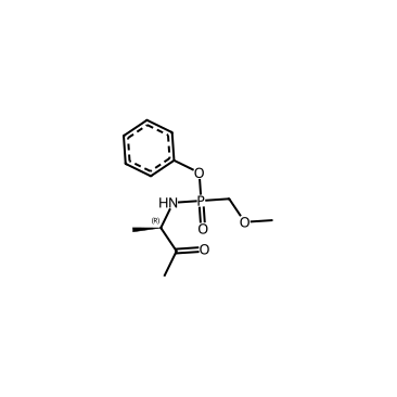 COCP(=O)(N[C@H](C)C(C)=O)Oc1ccccc1